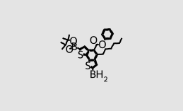 Bc1cc2c(CCCCCC)c(C(=O)Oc3ccccc3)c3cc(B4OC(C)(C)C(C)(C)O4)sc3c2s1